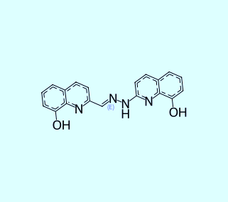 Oc1cccc2ccc(/C=N/Nc3ccc4cccc(O)c4n3)nc12